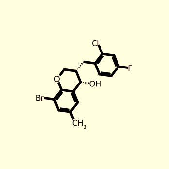 Cc1cc(Br)c2c(c1)[C@@H](O)[C@@H](Cc1ccc(F)cc1Cl)CO2